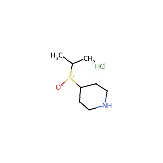 CC(C)[S+]([O-])C1CCNCC1.Cl